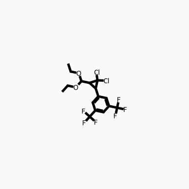 CCOC(OCC)C1C(c2cc(C(F)(F)F)cc(C(F)(F)F)c2)C1(Cl)Cl